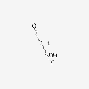 C=C.CC(C)CC(O)CCCCCCCCCCC=O